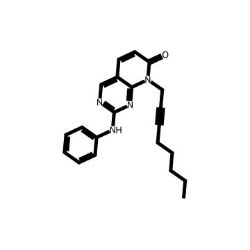 CCCCCC#CCn1c(=O)ccc2cnc(Nc3ccccc3)nc21